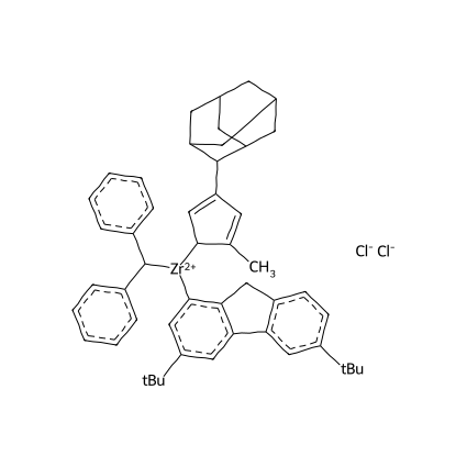 CC1=CC(C2C3CC4CC(C3)CC2C4)=C[CH]1[Zr+2]([c]1cc(C(C)(C)C)cc2c1Cc1ccc(C(C)(C)C)cc1-2)[CH](c1ccccc1)c1ccccc1.[Cl-].[Cl-]